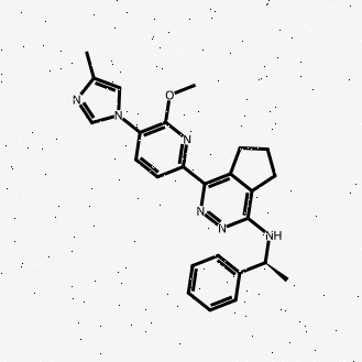 COc1nc(-c2nnc(N[C@@H](C)c3ccccc3)c3c2CCC3)ccc1-n1cnc(C)c1